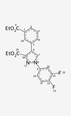 CCOC(=O)c1cccc(-c2cn(-c3ccc(F)c(F)c3)nc2C(=O)OCC)c1